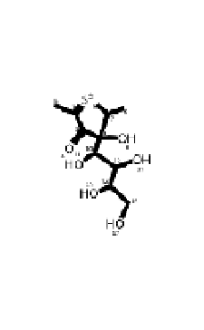 CC(=S)C(=O)C(O)(C(C)C)C(O)C(O)C(O)CO